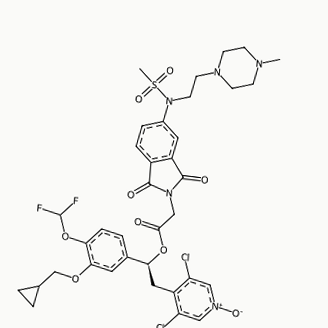 CN1CCN(CCN(c2ccc3c(c2)C(=O)N(CC(=O)O[C@@H](Cc2c(Cl)c[n+]([O-])cc2Cl)c2ccc(OC(F)F)c(OCC4CC4)c2)C3=O)S(C)(=O)=O)CC1